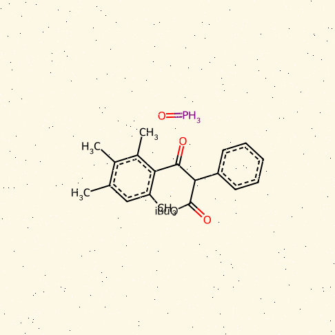 Cc1cc(C)c(C(=O)C(C(=O)OCC(C)C)c2ccccc2)c(C)c1C.O=[PH3]